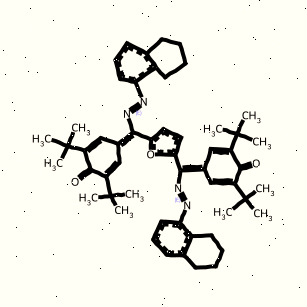 CC(C)(C)C1=CC(=C(/N=N/c2cccc3c2CCCC3)c2ccc(C(/N=N/c3cccc4c3CCCC4)=C3C=C(C(C)(C)C)C(=O)C(C(C)(C)C)=C3)o2)C=C(C(C)(C)C)C1=O